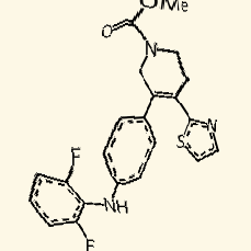 COC(=O)N1CCC(c2nccs2)=C(c2ccc(Nc3c(F)cccc3F)cc2)C1